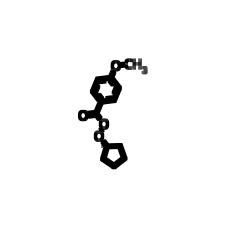 COc1ccc(C(=O)OO[C]2CCCC2)cc1